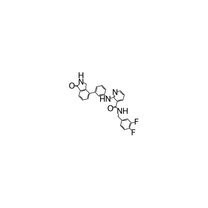 O=C(NCc1ccc(F)c(F)c1)c1cccnc1Nc1cccc(-c2cccc3c2CNC3=O)c1